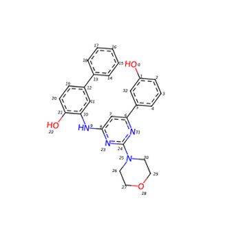 Oc1cccc(-c2cc(Nc3cc(-c4ccccc4)ccc3O)nc(N3CCOCC3)n2)c1